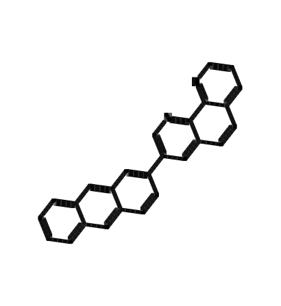 c1ccc2cc3cc(-c4cnc5c(ccc6cccnc65)c4)ccc3cc2c1